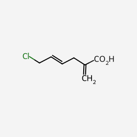 C=C(C/C=C/CCl)C(=O)O